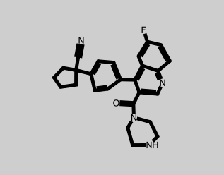 N#CC1(c2ccc(-c3c(C(=O)N4CCNCC4)cnc4ccc(F)cc34)cc2)CCCC1